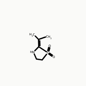 CC(C)=C1NCCS1(=O)=O